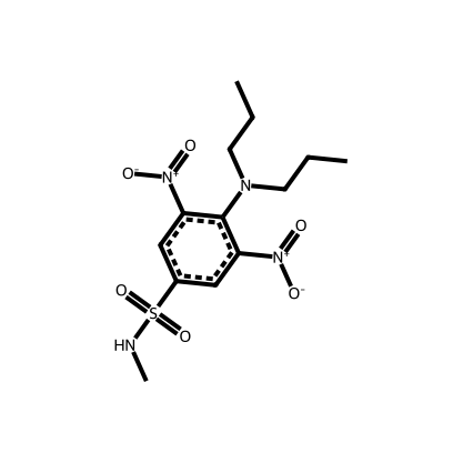 CCCN(CCC)c1c([N+](=O)[O-])cc(S(=O)(=O)NC)cc1[N+](=O)[O-]